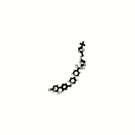 CC(C)(C)c1cnc(CSc2cnc(NC(=O)C3CCN(C4CCN(Cc5ccc(C6CCC(=O)NC6=O)c(F)c5)CC4)CC3)s2)o1